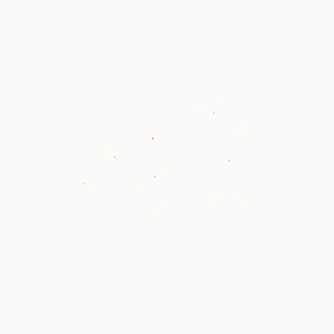 COc1cc(C(=O)O)c(COC2(CO)O[C@H](CO)[C@@H](O)[C@@H]2O)cc1[N+](=O)[O-]